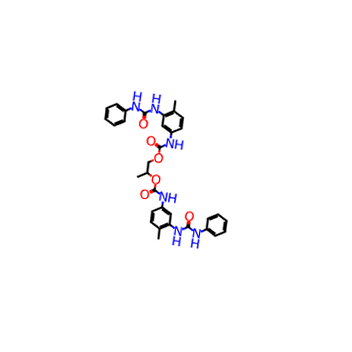 Cc1ccc(NC(=O)OCC(C)OC(=O)Nc2ccc(C)c(NC(=O)Nc3ccccc3)c2)cc1NC(=O)Nc1ccccc1